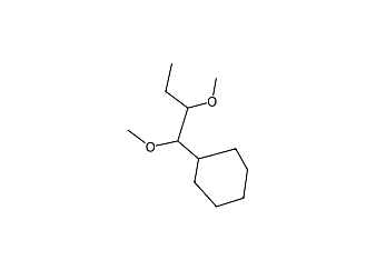 CCC(OC)C(OC)C1CCCCC1